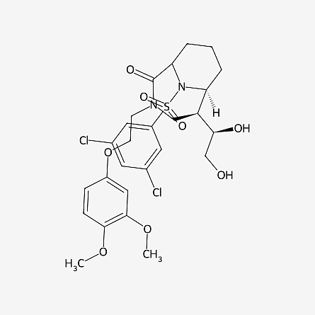 COc1ccc(OCCN2C[C@H]([C@@H](O)CO)[C@@H]3CCCC(C2=O)N3S(=O)(=O)c2cc(Cl)cc(Cl)c2)cc1OC